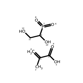 C=C(C)C(=O)O.O=P(=O)C(O)CO